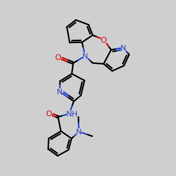 CN(C)c1ccccc1C(=O)Nc1ccc(C(=O)N2Cc3cccnc3Oc3ccccc32)cn1